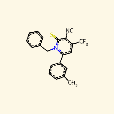 [C-]#[N+]c1c(C(F)(F)F)cc(-c2cccc(C)c2)n(Cc2ccccc2)c1=S